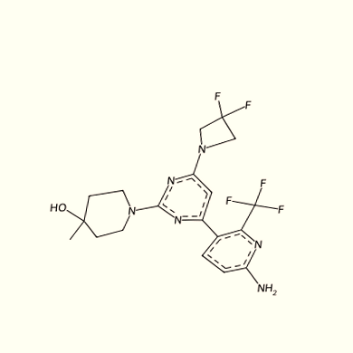 CC1(O)CCN(c2nc(-c3ccc(N)nc3C(F)(F)F)cc(N3CC(F)(F)C3)n2)CC1